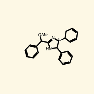 COC(C1=N[C@@H](C2C=CC=CC2)C(c2ccccc2)N1)c1ccccc1